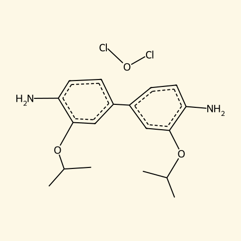 CC(C)Oc1cc(-c2ccc(N)c(OC(C)C)c2)ccc1N.ClOCl